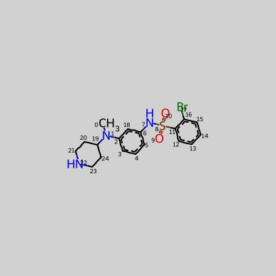 CN(c1cccc(NS(=O)(=O)c2ccccc2Br)c1)C1CCNCC1